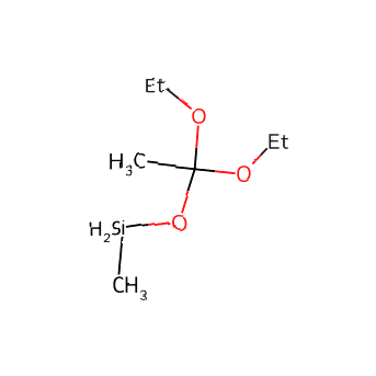 CCOC(C)(OCC)O[SiH2]C